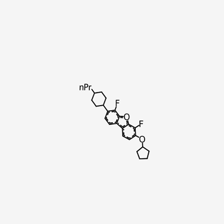 CCCC1CCC(c2ccc3c(oc4c(F)c(OC5CCCC5)ccc43)c2F)CC1